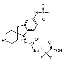 CC(C)(C)[S+]([O-])/N=C1\c2ccc(NS(C)(=O)=O)cc2CC12CCNCC2.O=C(O)C(F)(F)F